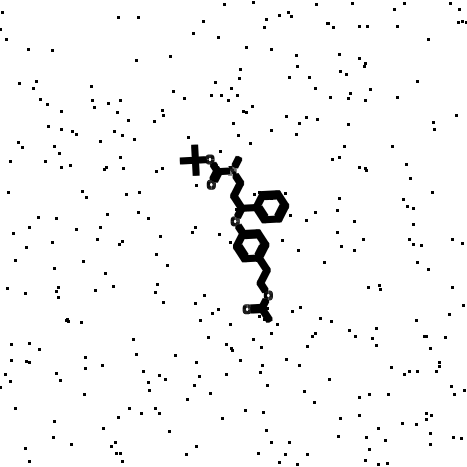 CC(=O)OCCc1ccc(OC(CCN(C)C(=O)OC(C)(C)C)c2ccccc2)cc1